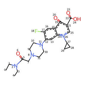 CCN(CC)C(=O)CN1CCN(c2cc3c(cc2F)c(=O)c(C(=O)O)cn3C2CC2)CC1